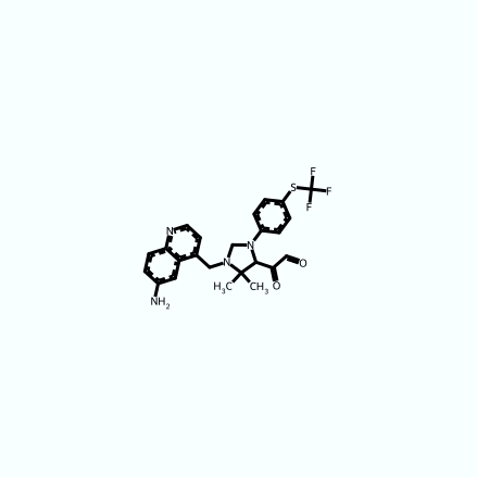 CC1(C)C(C(=O)C=O)N(c2ccc(SC(F)(F)F)cc2)CN1Cc1ccnc2ccc(N)cc12